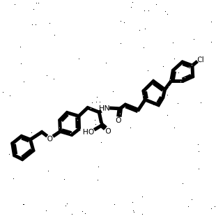 O=C(/C=C/c1ccc(-c2ccc(Cl)cc2)cc1)NC(Cc1ccc(OCc2ccccc2)cc1)C(=O)O